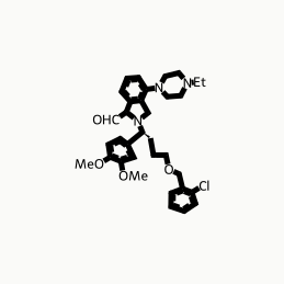 CCN1CCN(c2cccc3c2CN([C@H](CCCOCc2ccccc2Cl)c2ccc(OC)c(OC)c2)C3C=O)CC1